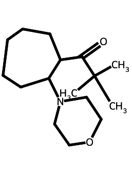 CC(C)(C)C(=O)C1CCCCCC1N1CCOCC1